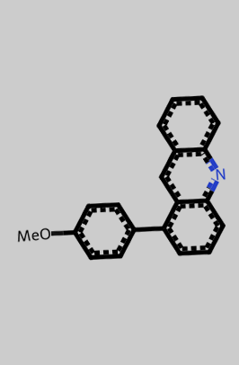 COc1ccc(-c2cccc3nc4ccccc4cc23)cc1